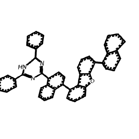 c1ccc(C2=NC(c3ccc(-c4cccc5oc6c(-c7cccc8ccccc78)cccc6c45)c4ccccc34)=NC(c3ccccc3)N2)cc1